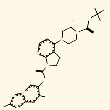 Cc1nc2cc(C)c(NC(=O)N3CCc4c(N5C[C@@H](C)N(C(=O)OC(C)(C)C)[C@@H](C)C5)ccnc43)cn2n1